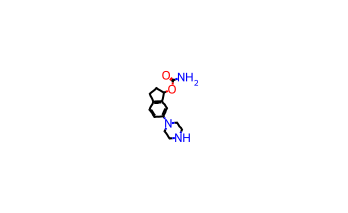 NC(=O)OC1CCc2ccc(N3CCNCC3)cc21